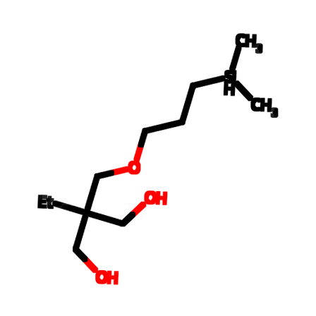 CCC(CO)(CO)COCCC[SiH](C)C